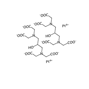 O=C([O-])CN(CC(=O)[O-])CC(O)CN(CC(=O)[O-])CC(=O)[O-].O=C([O-])CN(CC(=O)[O-])CC(O)CN(CC(=O)[O-])CC(=O)[O-].[Pt+4].[Pt+4]